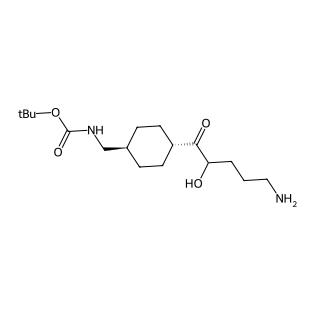 CC(C)(C)OC(=O)NC[C@H]1CC[C@H](C(=O)C(O)CCCN)CC1